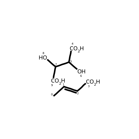 CC=CC(=O)O.O=C(O)C(O)C(O)C(=O)O